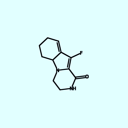 O=C1NCCN2C1=C(F)C1=CCCCC12